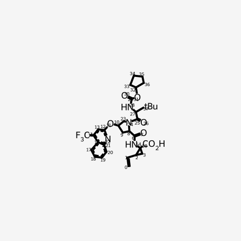 C=CC1CC1(NC(=O)C1CC(Oc2cc(C(F)(F)F)c3ccccc3n2)CN1C(=O)C(NC(=O)OC1CCCC1)C(C)(C)C)C(=O)O